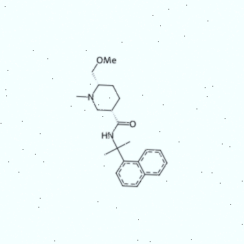 COC[C@@H]1CC[C@H](C(=O)NC(C)(C)c2cccc3ccccc23)CN1C